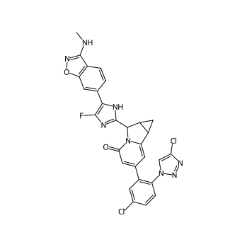 CNc1noc2cc(-c3[nH]c(C4C5CC5c5cc(-c6cc(Cl)ccc6-n6cc(Cl)nn6)cc(=O)n54)nc3F)ccc12